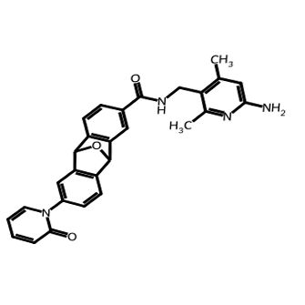 Cc1cc(N)nc(C)c1CNC(=O)c1ccc2c(c1)C1OC2c2cc(-n3ccccc3=O)ccc21